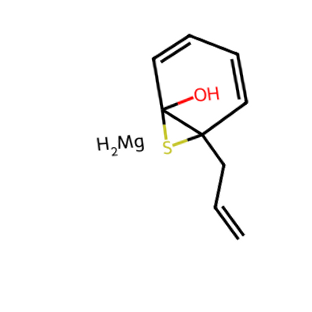 C=CCC12C=CC=CC1(O)S2.[MgH2]